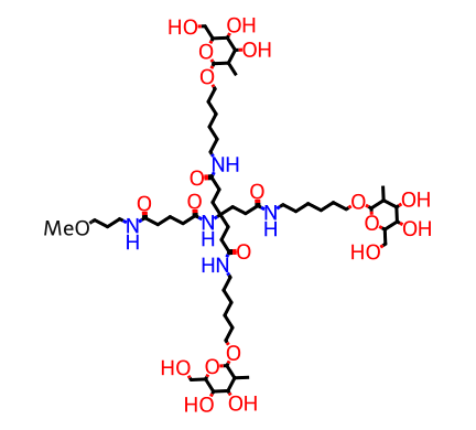 COCCCNC(=O)CCCC(=O)NC(CCC(=O)NCCCCCCOC1OC(CO)C(O)C(O)C1C)(CCC(=O)NCCCCCCOC1OC(CO)C(O)C(O)C1C)CCC(=O)NCCCCCCOC1OC(CO)C(O)C(O)C1C